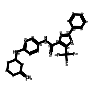 C=C1CCCC(Nc2ccc(NC(=O)c3nc(-c4ccccc4)oc3C(F)(F)F)cn2)C1